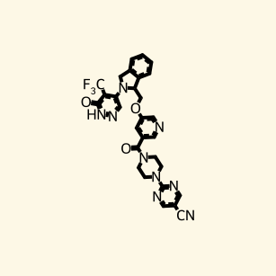 N#Cc1cnc(N2CCN(C(=O)c3cncc(OCC4c5ccccc5CN4c4cn[nH]c(=O)c4C(F)(F)F)c3)CC2)nc1